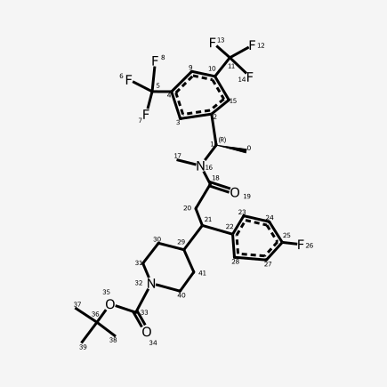 C[C@H](c1cc(C(F)(F)F)cc(C(F)(F)F)c1)N(C)C(=O)CC(c1ccc(F)cc1)C1CCN(C(=O)OC(C)(C)C)CC1